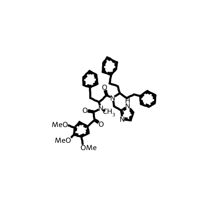 COc1cc(C(=O)C(=O)N(C)C(Cc2ccccc2)C(=O)N(Cc2ncc[nH]2)C(CCc2ccccc2)CCc2ccccc2)cc(OC)c1OC